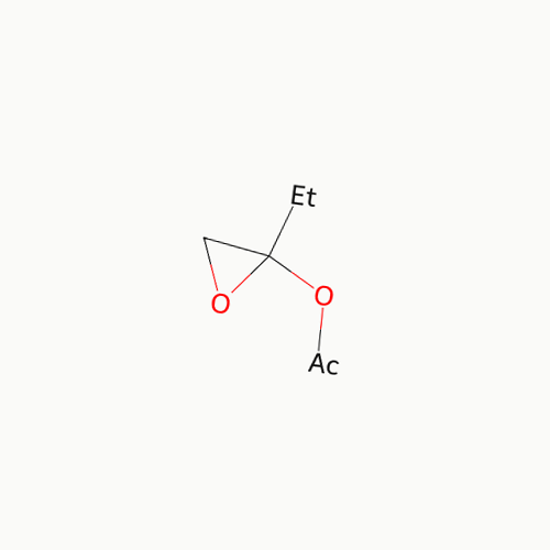 CCC1(OC(C)=O)CO1